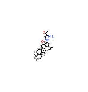 C=C(C)C1CCC2(C(=O)NCC(N)C(C)=O)CCC3(C)C(CCC4C5(C)CCC(C)C(C)(C)C5CCC43C)C12